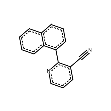 N#Cc1cccnc1-c1cc[c]c2ccccc12